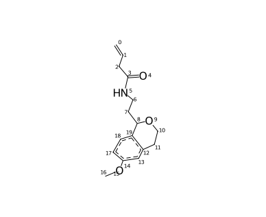 C=CCC(=O)NCCC1OCCc2cc(OC)ccc21